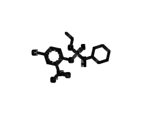 CCOP(=S)(NC1CCCCC1)Oc1ccc(Cl)cc1[N+](=O)[O-]